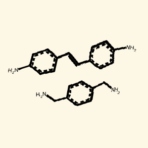 NCc1ccc(CN)cc1.Nc1ccc(C=Cc2ccc(N)cc2)cc1